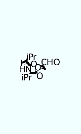 CC(C)C(NC(=O)[C@H](I)C(C)C)C(=O)O[C@@H](C)C=O